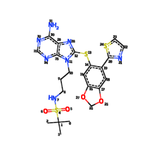 CC(C)(C)S(=O)(=O)NCCCn1c(Sc2cc3c(cc2-c2nccs2)OCO3)nc2c(N)ncnc21